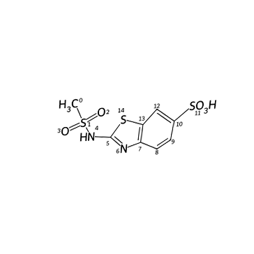 CS(=O)(=O)Nc1nc2ccc(S(=O)(=O)O)cc2s1